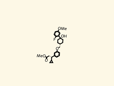 COC(=O)C[C@H](c1cccc(OC[C@H]2CC[C@](O)(c3cc(OC)ccc3F)CC2)c1)C1CC1